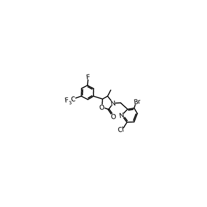 CC1C(c2cc(F)cc(C(F)(F)F)c2)OC(=O)N1Cc1nc(Cl)ccc1Br